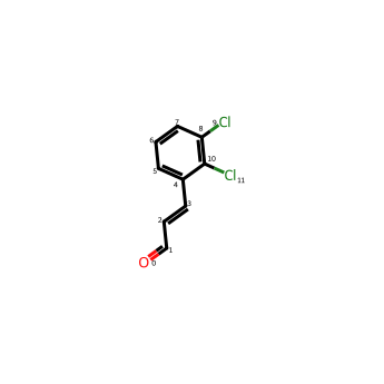 O=C/C=C/c1cccc(Cl)c1Cl